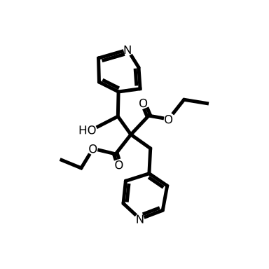 CCOC(=O)C(Cc1ccncc1)(C(=O)OCC)C(O)c1ccncc1